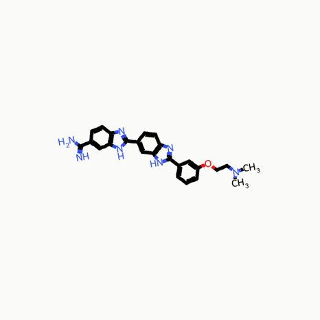 CN(C)CCOc1cccc(-c2nc3ccc(-c4nc5ccc(C(=N)N)cc5[nH]4)cc3[nH]2)c1